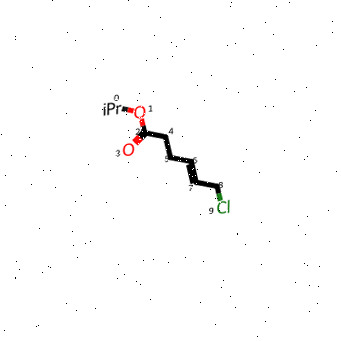 CC(C)OC(=O)CCC=CCCl